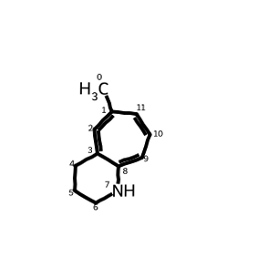 CC1=C=C2CCCNC2=CC=C1